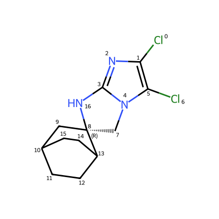 Clc1nc2n(c1Cl)C[C@]1(CC3CCC1CC3)N2